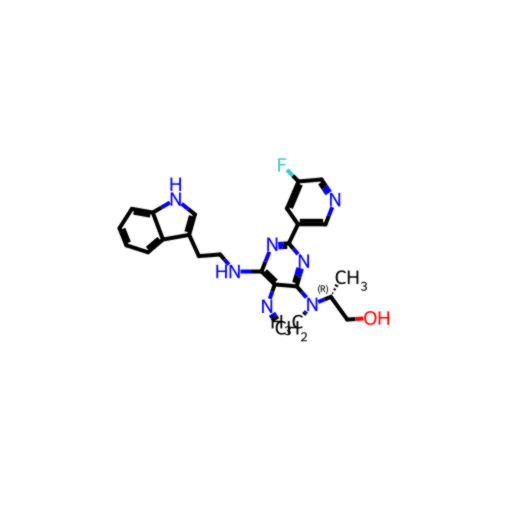 C=Nc1c(NCCc2c[nH]c3ccccc23)nc(-c2cncc(F)c2)nc1N(C)[C@H](C)CO